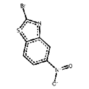 O=[N+]([O-])c1ccc2sc(Br)nc2c1